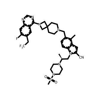 Cc1c(CN2CCC3(CC2)CN(c2ncnc4cc(F)c(CC(F)(F)F)cc24)C3)ccc2c1cc(C#N)n2C[C@H](C)N1CCN(S(C)(=O)=O)CC1